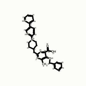 Cc1nc(CC2CCN(c3ccc(-c4ccccn4)cn3)CC2)nc(C(=O)O)c1OCc1ccccc1